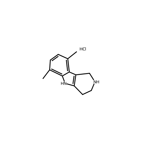 Cc1ccc(C)c2c3c([nH]c12)CCNC3.Cl